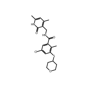 Cc1cc(C)c(CNC(=O)c2cc(Cl)cc(SC3CCOCC3)c2C)c(=O)[nH]1